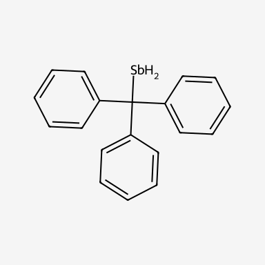 [SbH2][C](c1ccccc1)(c1ccccc1)c1ccccc1